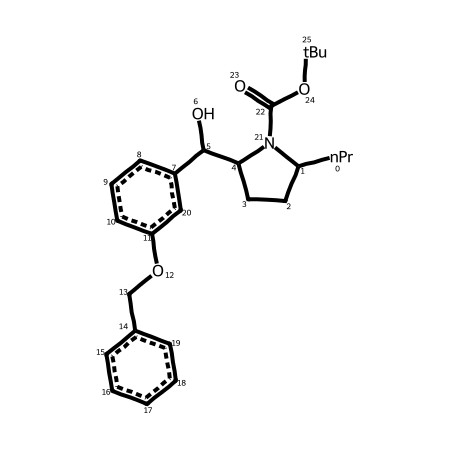 CCCC1CCC(C(O)c2cccc(OCc3ccccc3)c2)N1C(=O)OC(C)(C)C